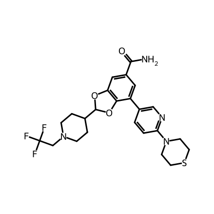 NC(=O)c1cc2c(c(-c3ccc(N4CCSCC4)nc3)c1)OC(C1CCN(CC(F)(F)F)CC1)O2